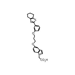 O=C(O)Cn1ccc2cc(OCCCOc3cccc(-c4nc5c(s4)CCCC5)c3)ccc21